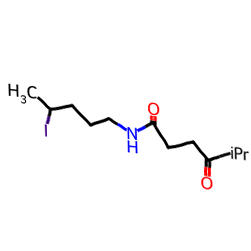 CC(I)CCCNC(=O)CCC(=O)C(C)C